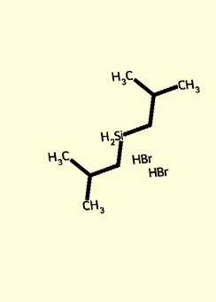 Br.Br.CC(C)C[SiH2]CC(C)C